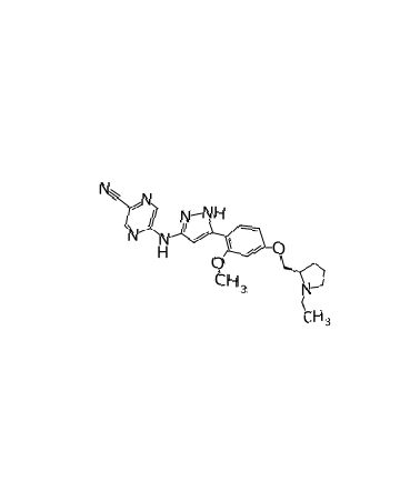 CCN1CCC[C@@H]1COc1ccc(-c2cc(Nc3cnc(C#N)cn3)n[nH]2)c(OC)c1